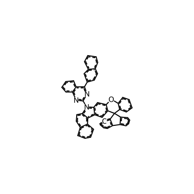 c1ccc2c(c1)Oc1cc3c(cc1C21c2ccccc2-c2ccccc21)c1c2ccccc2ccc1n3-c1nc(-c2ccc3ccccc3c2)c2ccccc2n1